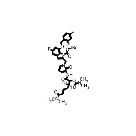 [2H]C([2H])(C/C=C/C(=O)N(C)C)C(OC(=O)N(C)C)C(=O)Nc1cccn(Cc2cc3cc(F)cc(OCc4ccc(F)cc4F)c3n2C(=O)OC(C)(C)C)c1=O